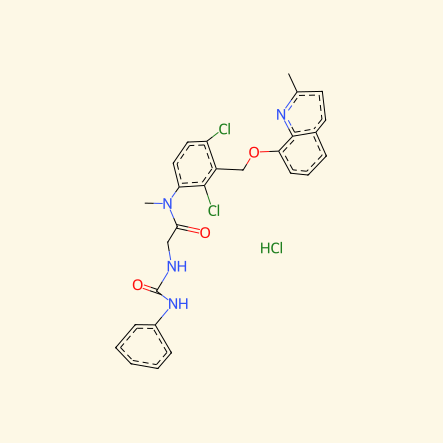 Cc1ccc2cccc(OCc3c(Cl)ccc(N(C)C(=O)CNC(=O)Nc4ccccc4)c3Cl)c2n1.Cl